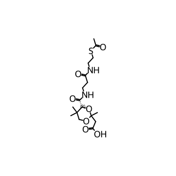 CC(=O)SCCNC(=O)CCNC(=O)[C@@H]1OC(C)(CC(=O)O)OCC1(C)C